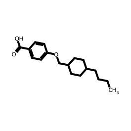 CCCCC1CCC(COc2ccc(C(=O)O)cc2)CC1